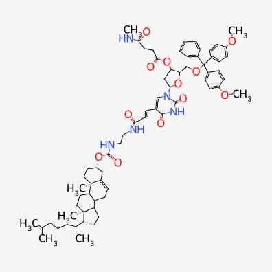 CNC(=O)CCC(=O)O[C@@H]1C[C@H](n2cc(/C=C/C(=O)NCCNC(=O)O[C@H]3CC[C@@]4(C)C(=CCC5C4CC[C@@]4(C)C5CC[C@@H]4[C@H](C)CCCC(C)C)C3)c(=O)[nH]c2=O)O[C@@H]1COC(c1ccccc1)(c1ccc(OC)cc1)c1ccc(OC)cc1